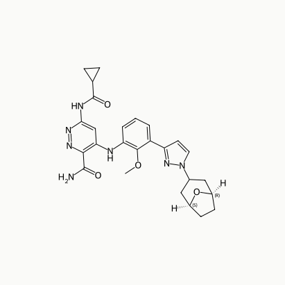 COc1c(Nc2cc(NC(=O)C3CC3)nnc2C(N)=O)cccc1-c1ccn(C2C[C@H]3CC[C@@H](C2)O3)n1